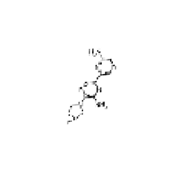 Nc1cncc(-c2cnc(N3CC4CC4C3)c(N)n2)n1